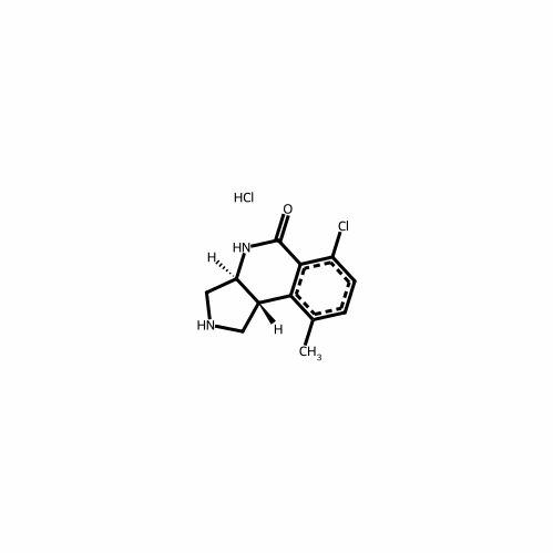 Cc1ccc(Cl)c2c1[C@@H]1CNC[C@H]1NC2=O.Cl